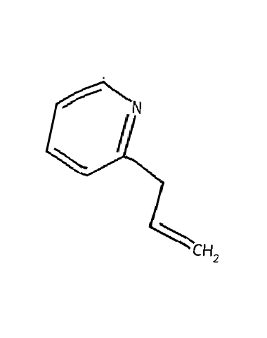 C=CCc1ccc[c]n1